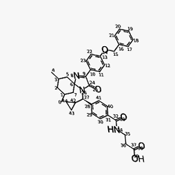 CC1CC(C)CC2(C1)N=C(c1ccc(OCc3ccccc3)cc1)C(=O)N2[C@@H](c1ccc(C(=O)NCCC(=O)O)cc1)C1CC1